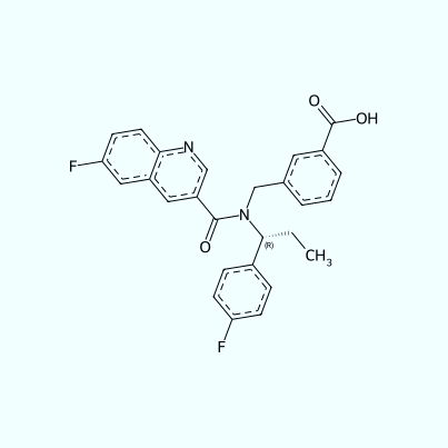 CC[C@H](c1ccc(F)cc1)N(Cc1cccc(C(=O)O)c1)C(=O)c1cnc2ccc(F)cc2c1